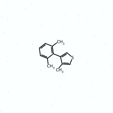 Cc1[c]scc1-c1c(C)cccc1C